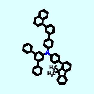 CC1(C)c2ccccc2-c2cccc(-c3ccc(N(c4ccc(-c5cccc(-c6cccc7ccccc67)c5)cc4)c4cc(-c5ccccc5)cc(-c5ccccc5)c4)cc3)c21